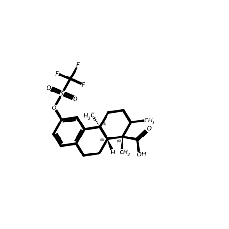 CC1CC[C@]2(C)c3cc(OS(=O)(=O)C(F)(F)F)ccc3CC[C@H]2[C@@]1(C)C(=O)O